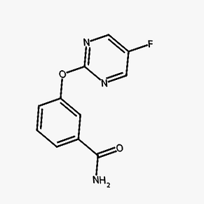 NC(=O)c1cccc(Oc2ncc(F)cn2)c1